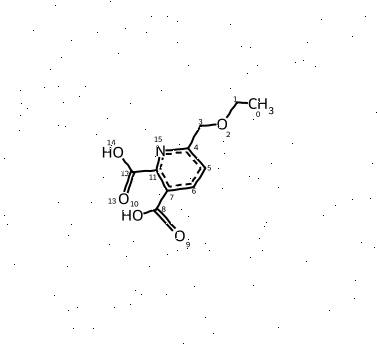 CCOCc1ccc(C(=O)O)c(C(=O)O)n1